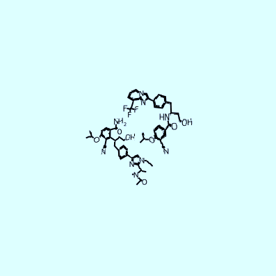 CC(C)Oc1ccc(C(=O)NC(CCO)Cc2ccc(-c3cn4cccc(C(F)(F)F)c4n3)cc2)cc1C#N.CCn1cc(-c2ccc(CC(CCO)c3c(C(N)=O)ccc(OC(C)C)c3C#N)cc2)nc1C(C)N(C)C(C)=O